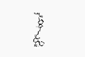 CNC(=O)Cc1ccc2nc(CCCOc3ccc([N+](=O)[O-])c(N4CCCCC4)c3C)[nH]c2c1